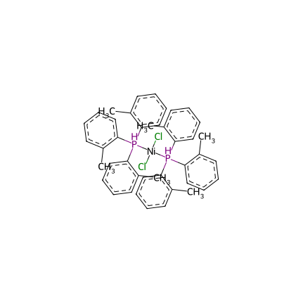 Cc1ccccc1[PH](c1ccccc1C)(c1ccccc1C)[Ni]([Cl])([Cl])[PH](c1ccccc1C)(c1ccccc1C)c1ccccc1C